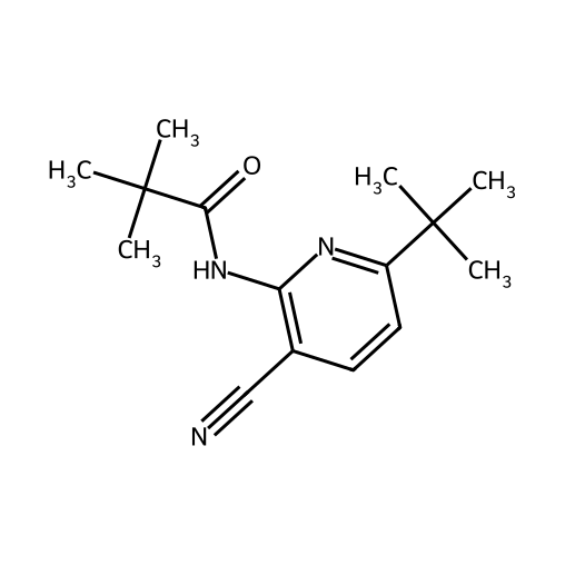 CC(C)(C)C(=O)Nc1nc(C(C)(C)C)ccc1C#N